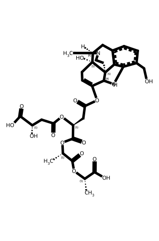 C[C@H](OC(=O)[C@H](C)OC(=O)[C@H](CC(=O)OC1=CC[C@@]2(O)[C@H]3Cc4ccc(CO)c5c4[C@@]2(CCN3C)[C@H]1O5)OC(=O)C[C@H](O)C(=O)O)C(=O)O